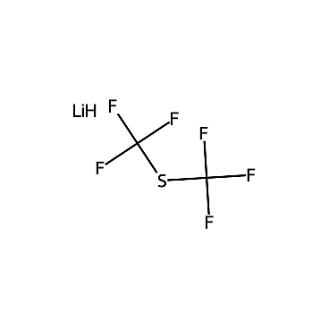 FC(F)(F)SC(F)(F)F.[LiH]